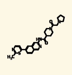 CC1=NC=C=C(c2ccc3cnc(NC(=O)C4CCN(C(=O)CN5CCCC5)CC4)cc3c2)S1